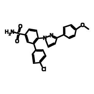 COc1ccc(-c2ccn(-c3ccc(S(N)(=O)=O)cc3-c3ccc(Cl)cc3)n2)cc1